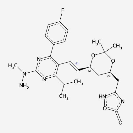 CC(C)c1nc(N(C)N)nc(-c2ccc(F)cc2)c1/C=C/[C@@H]1C[C@H](Cc2nc(=O)o[nH]2)OC(C)(C)O1